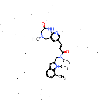 Cc1cccc2cc(CN(C)C(=O)C=Cc3cnc4c(c3)CN(C)CC(=O)N4)n(C)c12